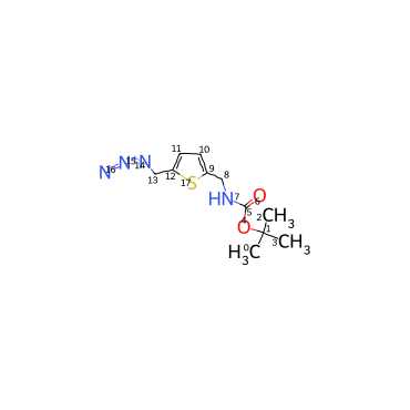 CC(C)(C)OC(=O)NCc1ccc(CN=[N+]=[N-])s1